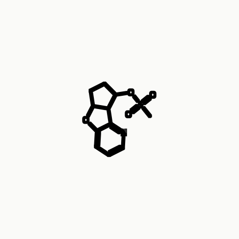 CS(=O)(=O)OC1CCC2Oc3cccnc3C21